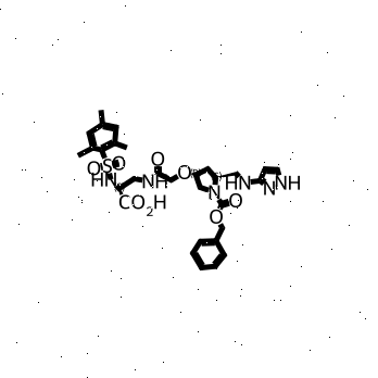 Cc1cc(C)c(S(=O)(=O)N[C@@H](CNC(=O)CO[C@@H]2C[C@@H](CNc3cc[nH]n3)N(C(=O)OCc3ccccc3)C2)C(=O)O)c(C)c1